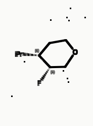 CC(C)[C@@H]1CCOC[C@@H]1F